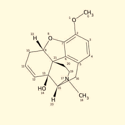 COc1ccc2c3c1O[C@H]1CC=C[C@@]4(O)[C@@H](C2)N(C)CC[C@]314